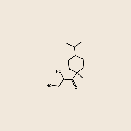 CC(C)C1CCC(C)(C(=O)C(O)CO)CC1